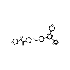 O=C(NC1CCC(CCN2CCN(c3cc(-c4ccco4)cc(N4CCOCC4)n3)CC2)CC1)N1CCOCC1